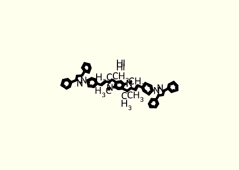 CN1c2cc3c(cc2C(C)(C)C1C=Cc1ccc(N2N=C(c4ccccc4)CC2c2ccccc2)cc1)N(C)C(C=Cc1ccc(N2N=C(c4ccccc4)CC2c2ccccc2)cc1)C3(C)C.I.I